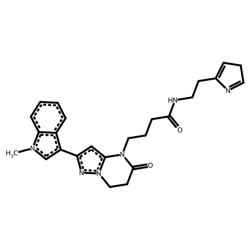 Cn1cc(-c2cc3n(n2)CCC(=O)N3CCCC(=O)NCCC2=CCC=N2)c2ccccc21